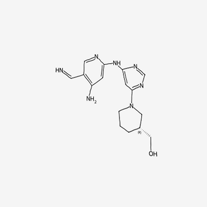 N=Cc1cnc(Nc2cc(N3CCC[C@@H](CO)C3)ncn2)cc1N